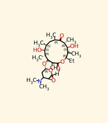 CC[C@H]1OC(=O)[C@H](C)[C@@H](O[C@H]2CC(N(C)C)C3O[C@H]3O2)[C@H](C)[C@@H](O)[C@@H](C)C[C@@H](C)C(=O)[C@H](C)[C@@H](O)[C@H]1C